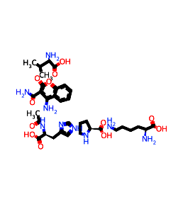 CC(=O)N[C@@H](Cc1c[nH]cn1)C(=O)O.CC(C)[C@H](N)C(=O)O.NC(=O)c1c(N)c2ccccc2oc1=O.NCCCC[C@H](N)C(=O)O.O=C(O)[C@@H]1CCCN1